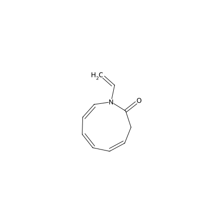 C=CN1C=CC=CC=CCC1=O